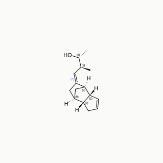 C[C@@H](O)[C@@H](C)/C=C1/C[C@H]2C[C@@H]1[C@@H]1C=CC[C@H]21